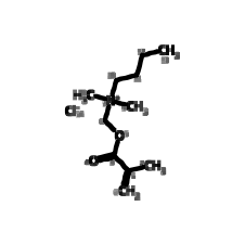 C=C(C)C(=O)OC[N+](C)(C)CCCC.[Cl-]